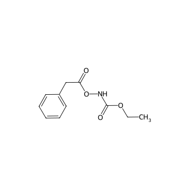 CCOC(=O)NOC(=O)Cc1ccccc1